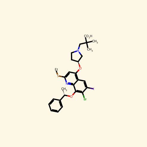 CCSc1cc(O[C@H]2CCN(CC(C)(C)C(=O)O)C2)c2cc(I)c(Br)c(O[C@@H](C)c3ccccc3)c2n1